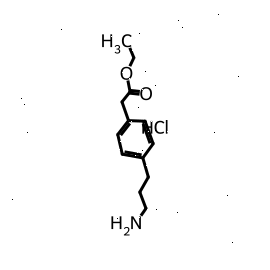 CCOC(=O)Cc1ccc(CCCN)cc1.Cl